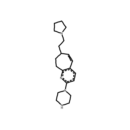 C1=CC(CCN2CCCC2)CCc2nc(N3CCNCC3)ccc21